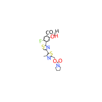 Cc1nc(COC(=O)N2CCCC2)sc1-c1csc(-c2cc(O)c(C(=O)O)cc2F)n1